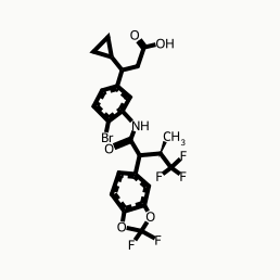 C[C@H](C(C(=O)Nc1cc(C(CC(=O)O)C2CC2)ccc1Br)c1ccc2c(c1)OC(F)(F)O2)C(F)(F)F